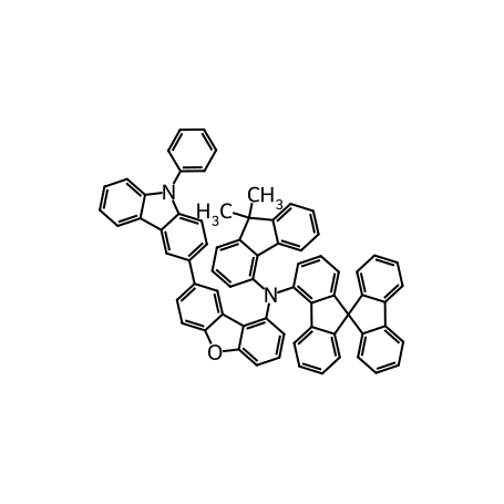 CC1(C)c2ccccc2-c2c(N(c3cccc4c3-c3ccccc3C43c4ccccc4-c4ccccc43)c3cccc4oc5ccc(-c6ccc7c(c6)c6ccccc6n7-c6ccccc6)cc5c34)cccc21